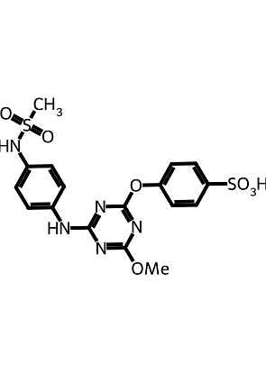 COc1nc(Nc2ccc(NS(C)(=O)=O)cc2)nc(Oc2ccc(S(=O)(=O)O)cc2)n1